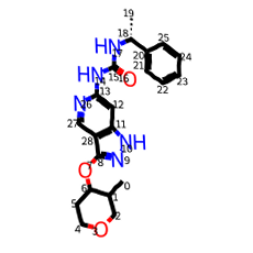 CC1COCCC1Oc1n[nH]c2cc(NC(=O)N[C@H](C)c3ccccc3)ncc12